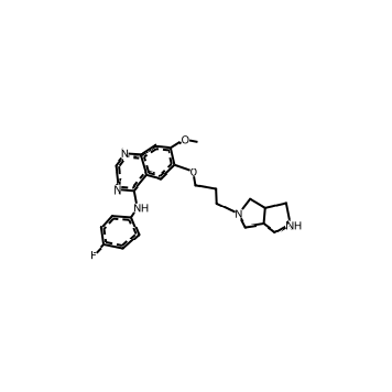 COc1cc2ncnc(Nc3ccc(F)cc3)c2cc1OCCCN1CC2CNCC2C1